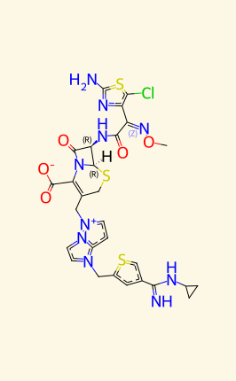 CO/N=C(\C(=O)N[C@@H]1C(=O)N2C(C(=O)[O-])=C(C[n+]3ccc4n(Cc5cc(C(=N)NC6CC6)cs5)ccn43)CS[C@H]12)c1nc(N)sc1Cl